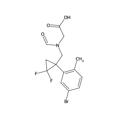 Cc1ccc(Br)cc1C1(CN(C=O)CC(=O)O)CC1(F)F